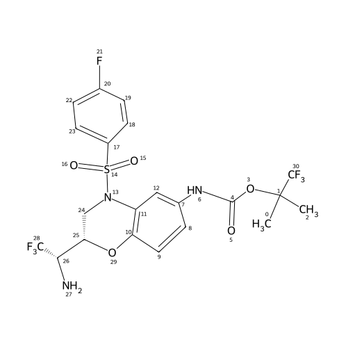 CC(C)(OC(=O)Nc1ccc2c(c1)N(S(=O)(=O)c1ccc(F)cc1)C[C@@H]([C@H](N)C(F)(F)F)O2)C(F)(F)F